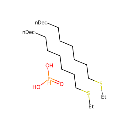 CCCCCCCCCCCCCCCCSCC.CCCCCCCCCCCCCCCCSCC.O=[PH](O)O